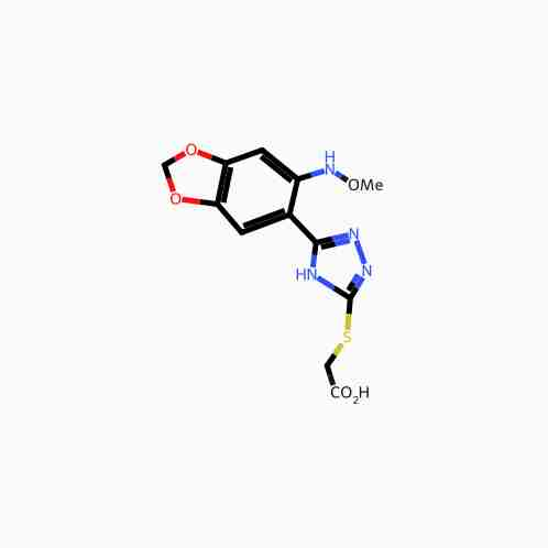 CONc1cc2c(cc1-c1nnc(SCC(=O)O)[nH]1)OCO2